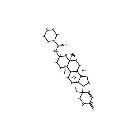 CC1([C@H]2CC[C@]3(O)[C@@H]4CC[C@]5(O)CC(NC(=O)N6CCOCC6)CC[C@]5(C)C4CC[C@]23C)C=CC(=O)OC1